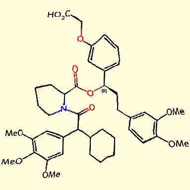 COc1ccc(CC[C@@H](OC(=O)C2CCCCN2C(=O)C(c2cc(OC)c(OC)c(OC)c2)C2CCCCC2)c2cccc(OCC(=O)O)c2)cc1OC